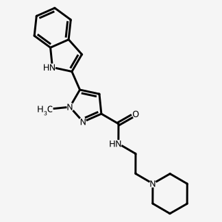 Cn1nc(C(=O)NCCN2CCCCC2)cc1-c1cc2ccccc2[nH]1